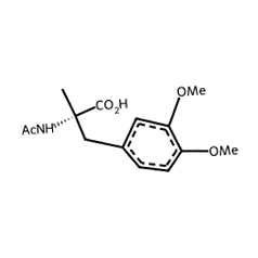 COc1ccc(C[C@](C)(NC(C)=O)C(=O)O)cc1OC